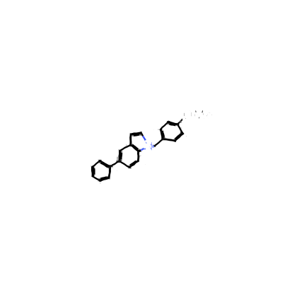 COc1ccc(Cn2ccc3cc(-c4ccccc4)ccc32)cc1